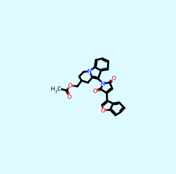 CC(=O)OCC1CCn2c(c(N3C(=O)C=C(c4coc5ccccc45)C3=O)c3ccccc32)C1